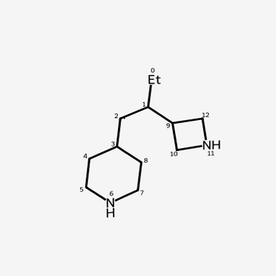 CCC([CH]C1CCNCC1)C1CNC1